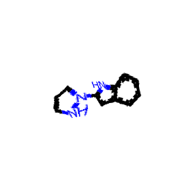 C1=CNN(c2cc3ccccc3[nH]2)C1